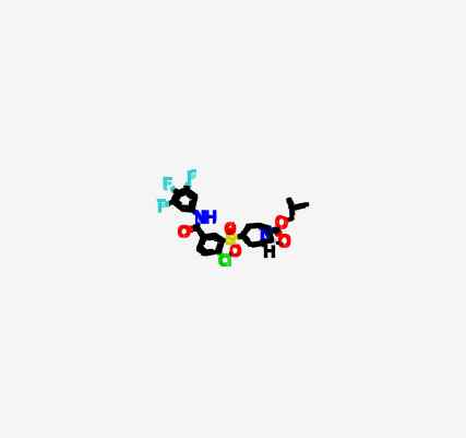 CC(C)COC(=O)N1C2CC(S(=O)(=O)c3cc(C(=O)Nc4cc(F)c(F)c(F)c4)ccc3Cl)C[C@@H]1[C@@H](C)C2